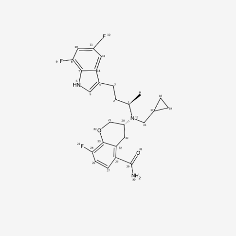 C[C@H](CCc1c[nH]c2c(F)cc(F)cc12)N(CC1CC1)[C@H]1COc2c(F)ccc(C(N)=O)c2C1